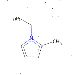 CCCCn1cccc1C